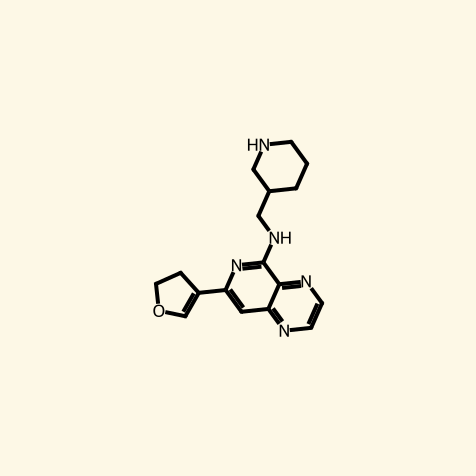 C1=C(c2cc3nccnc3c(NCC3CCCNC3)n2)CCO1